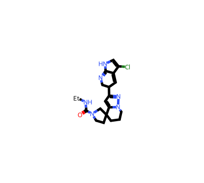 CCNC(=O)N1CCC2(CCCn3nc(C4C=c5c(Cl)c[nH]c5=NC4)cc32)C1